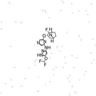 CN1[C@@H]2CC[C@H]1[C@H](F)[C@@H](Oc1cncc(Nc3cc(OC(F)F)[nH]n3)n1)C2